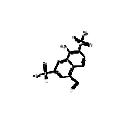 Nc1c(S(=O)(=O)O)ccc2c(C=O)cc(S(=O)(=O)O)cc12